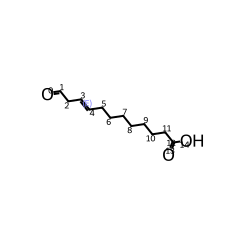 O=CC/C=C/CCCCCCCC(=O)O